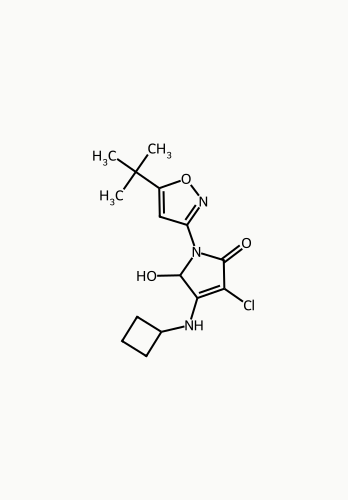 CC(C)(C)c1cc(N2C(=O)C(Cl)=C(NC3CCC3)C2O)no1